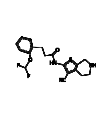 N#Cc1c(NC(=O)CCc2ccccc2OC(F)F)sc2c1CCNC2